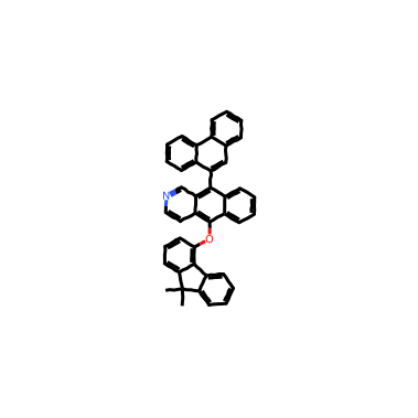 CC1(C)c2ccccc2-c2c(Oc3c4ccccc4c(-c4cc5ccccc5c5ccccc45)c4cnccc34)cccc21